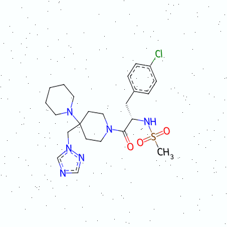 CS(=O)(=O)N[C@@H](Cc1ccc(Cl)cc1)C(=O)N1CCC(Cn2cncn2)(N2CCCCC2)CC1